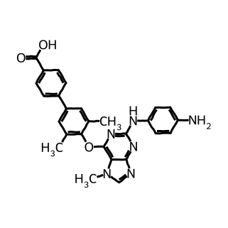 Cc1cc(-c2ccc(C(=O)O)cc2)cc(C)c1Oc1nc(Nc2ccc(N)cc2)nc2ncn(C)c12